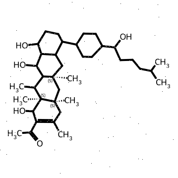 CC(=O)C1=C(C)C[C@]2(C)C[C@]3(C)CC4C(C5CCC(C(O)CCCC(C)C)CC5)CCC(O)C4C(O)C3C(C)[C@]2(C)C1O